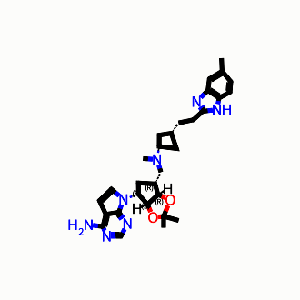 Cc1ccc2[nH]c(CC[C@H]3C[C@@H](N(C)C[C@H]4C[C@@H](n5ccc6c(N)ncnc65)[C@@H]5OC(C)(C)O[C@H]45)C3)nc2c1